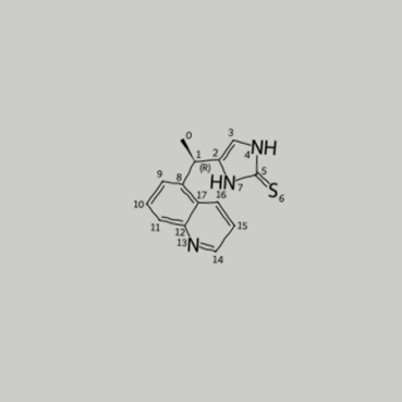 C[C@@H](c1c[nH]c(=S)[nH]1)c1cccc2ncccc12